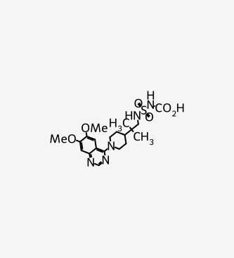 COc1cc2ncnc(N3CCC(C(C)(C)CNS(=O)(=O)NC(=O)O)CC3)c2cc1OC